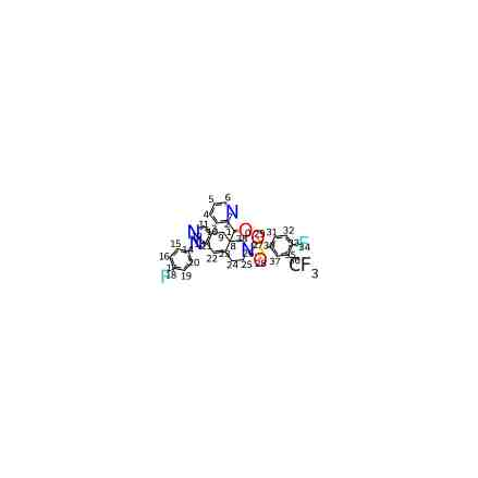 O=C(c1ccccn1)C12Cc3cnn(-c4ccc(F)cc4)c3C=C1CCN(S(=O)(=O)c1ccc(F)c(C(F)(F)F)c1)C2